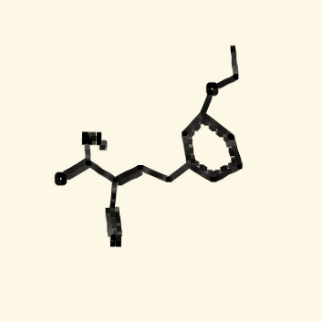 CCOc1cccc(C/C=C(\C#N)C(N)=O)c1